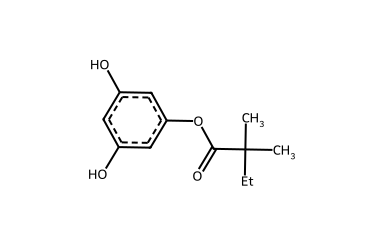 CCC(C)(C)C(=O)Oc1cc(O)cc(O)c1